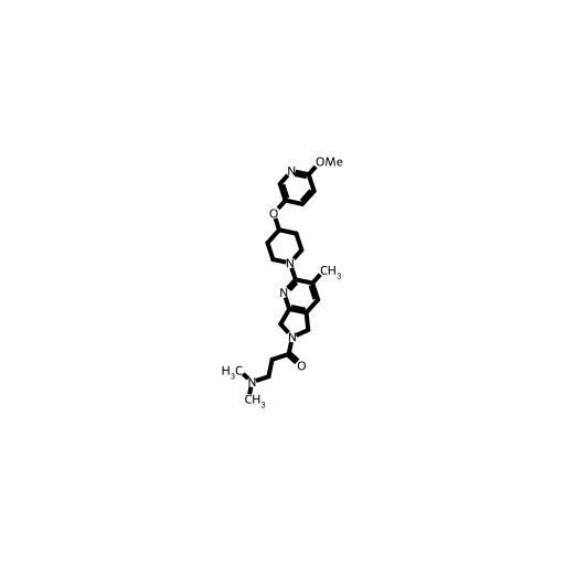 COc1ccc(OC2CCN(c3nc4c(cc3C)CN(C(=O)CCN(C)C)C4)CC2)cn1